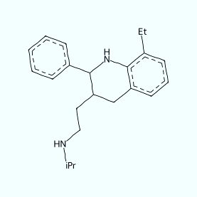 CCc1cccc2c1NC(c1ccccc1)C(CCNC(C)C)C2